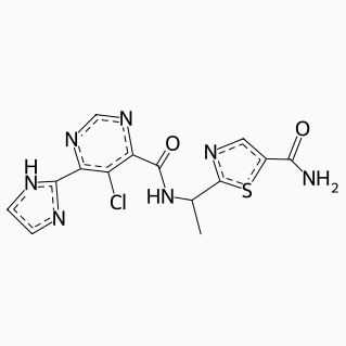 CC(NC(=O)c1ncnc(-c2ncc[nH]2)c1Cl)c1ncc(C(N)=O)s1